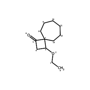 CCOC1CC(=O)C12CCCCCC2